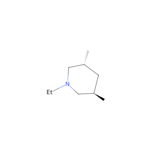 CCN1C[C@H](C)C[C@@H](C)C1